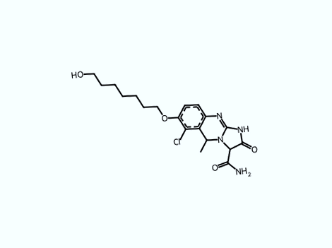 CC1c2c(ccc(OCCCCCCCO)c2Cl)N=C2NC(=O)C(C(N)=O)N21